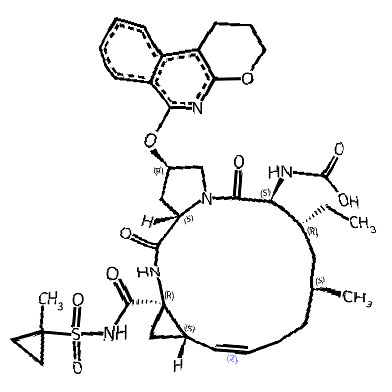 CC[C@@H]1C[C@@H](C)CC/C=C\[C@@H]2C[C@@]2(C(=O)NS(=O)(=O)C2(C)CC2)NC(=O)[C@@H]2C[C@@H](Oc3nc4c(c5ccccc35)CCCO4)CN2C(=O)[C@H]1NC(=O)O